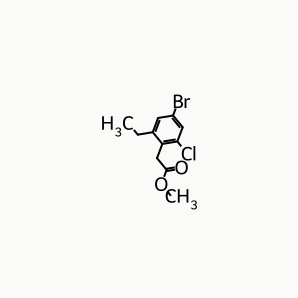 CCc1cc(Br)cc(Cl)c1CC(=O)OC